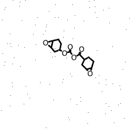 O=C(OC(=O)C1CCC2OC2C1)OC1CCC2OC2C1